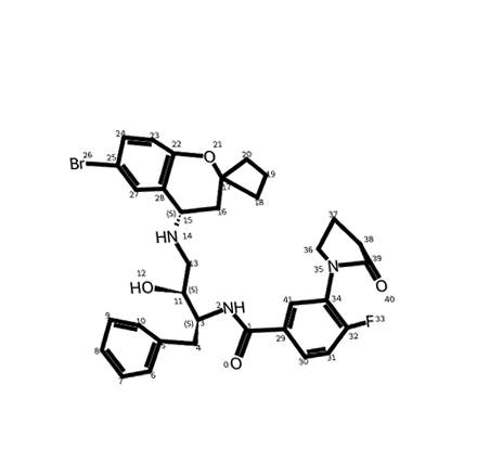 O=C(N[C@@H](Cc1ccccc1)[C@@H](O)CN[C@H]1CC2(CCC2)Oc2ccc(Br)cc21)c1ccc(F)c(N2CCCC2=O)c1